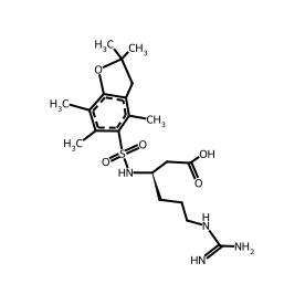 Cc1c(C)c(S(=O)(=O)N[C@H](CCCNC(=N)N)CC(=O)O)c(C)c2c1OC(C)(C)C2